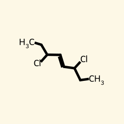 CCC(Cl)C=CC(Cl)CC